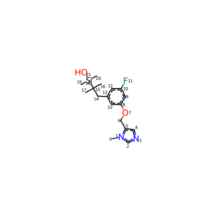 Cn1cncc1COc1cc(F)cc(CC(C)(C)[Si](C)(C)O)c1